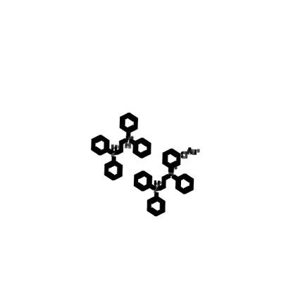 [Au+].[Cl-].c1ccc([PH+](CC[PH+](c2ccccc2)c2ccccc2)c2ccccc2)cc1.c1ccc([PH+](CC[PH+](c2ccccc2)c2ccccc2)c2ccccc2)cc1